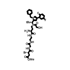 COC(=O)C[C@H](Br)C(=O)NCC(=O)NCCNC(=O)[C@@H](N)CCN(C(=O)CO)[C@@H](c1cc(-c2cc(F)ccc2F)cn1Cc1ccccc1)C(C)(C)C